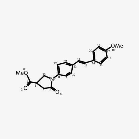 COC(=O)C1CC(=O)N(c2ccc(C=Cc3ccc(OC)cc3)cc2)C1